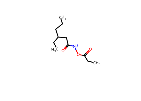 CCCC(CC)CC(=O)NOC(=O)CC